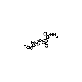 NCc1ccc([C@H](CC(=O)NCCC(=O)Nc2ccc(Oc3ccc(F)cc3)cc2)OCc2ccccc2)cc1Cl